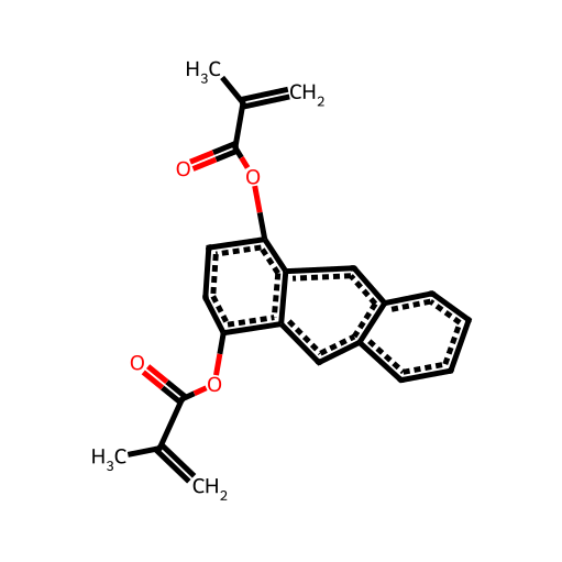 C=C(C)C(=O)Oc1ccc(OC(=O)C(=C)C)c2cc3ccccc3cc12